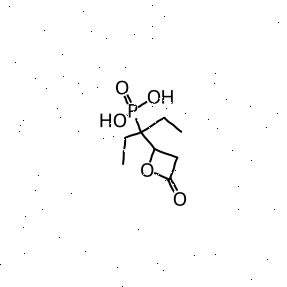 CCC(CC)(C1CC(=O)O1)P(=O)(O)O